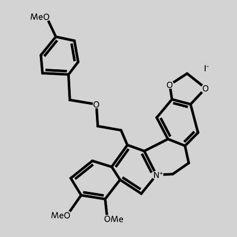 COc1ccc(COCCc2c3[n+](cc4c(OC)c(OC)ccc24)CCc2cc4c(cc2-3)OCO4)cc1.[I-]